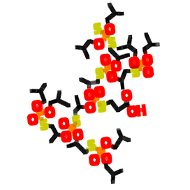 CC(C)COP(=O)(OCC(C)C)SCC(C)OP(=O)(OC(C)CSP(=O)(OCC(C)C)OCC(C)C)SCC(C)OP(=O)(OC(C)CSP(=O)(OC(C)CSP(=O)(OCC(C)C)OCC(C)C)OC(C)CSP(=S)(OCC(C)C)OCC(C)C)SCCC(=O)O